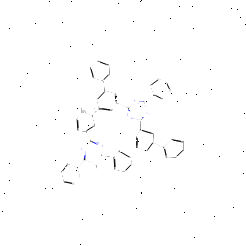 CC1C(C2C=CC=CC2)=NC(C2=CC(c3cc(C4=NC(c5cccc(-c6ccccc6)c5)=NC(c5ccccc5)N4)cc(-c4ccccc4)c3)[C@H](C)C=C2)=NC1c1ccccc1